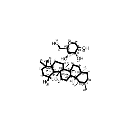 C[C@@H]1[C@H]2[C@H]3CC[C@@H]4[C@]5(C)[C@@H](CC[C@@]4(C)[C@]3(C)CC[C@@]2(C)CC[C@H]1C)C(C)(C)CCC5(O)C(=O)O.OC[C@H]1O[CH][C@H](O)[C@@H](O)[C@@H]1O